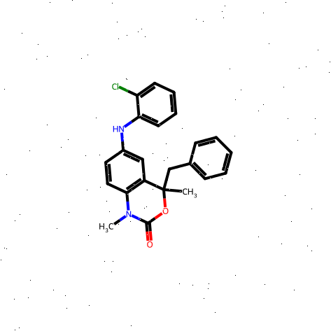 CN1C(=O)OC(C)(Cc2ccccc2)c2cc(Nc3ccccc3Cl)ccc21